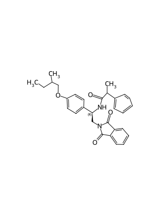 CCC(C)COc1ccc([C@H](CN2C(=O)c3ccccc3C2=O)NC(=O)C(C)c2ccccc2)cc1